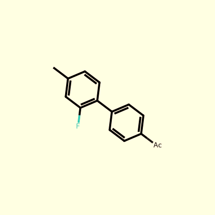 CC(=O)c1ccc(-c2ccc(C)cc2F)cc1